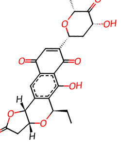 CC[C@H]1O[C@@H]2CC(=O)O[C@@H]2c2cc3c(c(O)c21)C(=O)C([C@H]1C[C@@H](O)C(=O)[C@@H](C)O1)=CC3=O